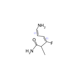 CC(C(N)=O)/C(F)=C\C=C/N